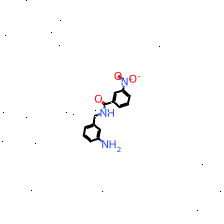 Nc1cccc(CNC(=O)c2cccc([N+](=O)[O-])c2)c1